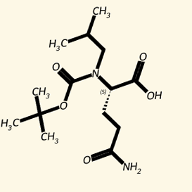 CC(C)CN(C(=O)OC(C)(C)C)[C@@H](CCC(N)=O)C(=O)O